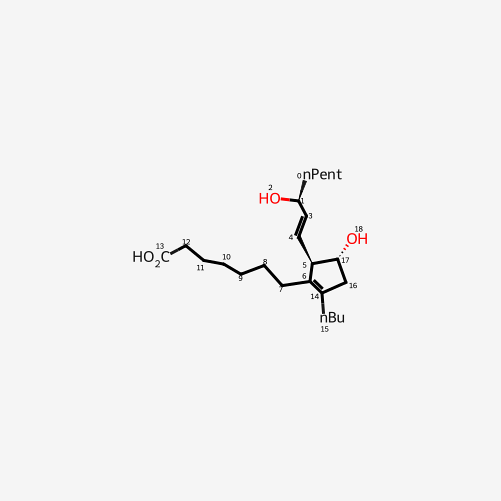 CCCCC[C@H](O)/C=C/[C@@H]1C(CCCCCCC(=O)O)=C(CCCC)C[C@H]1O